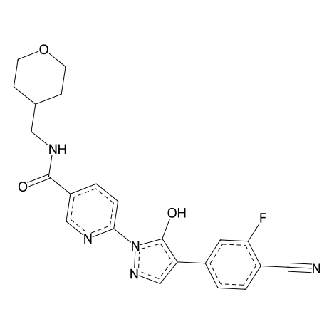 N#Cc1ccc(-c2cnn(-c3ccc(C(=O)NCC4CCOCC4)cn3)c2O)cc1F